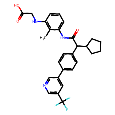 Cc1c(NCC(=O)O)cccc1NC(=O)C(c1ccc(-c2cncc(C(F)(F)F)c2)cc1)C1CCCC1